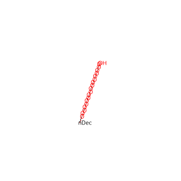 CCCCCCCCCCCCCCCOCCOCCOCCOCCOCCOCCOCCOCCOCCOCCOCCOCCOCCOCCOCCOCCOCCOO